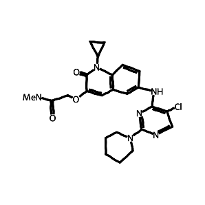 CNC(=O)COc1cc2cc(Nc3nc(N4CCCCC4)ncc3Cl)ccc2n(C2CC2)c1=O